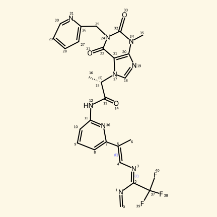 C=N/C(=N\C=C(/C)c1cccc(NC(=O)[C@H](C)n2cnc3c2c(=O)n(Cc2ccccn2)c(=O)n3C)n1)C(F)(F)F